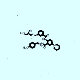 Cc1ccc(/C=N/NC(=O)c2cc(N3CCCCC3)ccc2NC(=O)c2cccc(CSCC(O)CO)c2)cc1